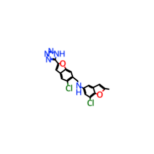 Cc1cc2cc(NCc3cc4oc(-c5nnn[nH]5)cc4cc3Cl)cc(Cl)c2o1